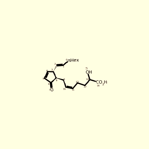 CCCCCCC=C[C@H]1C=CC(=O)[C@@H]1C/C=C\CCC(O)C(=O)O